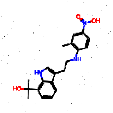 Cc1cc([N+](=O)O)ccc1NCCc1c[nH]c2c(C(C)(C)O)cccc12